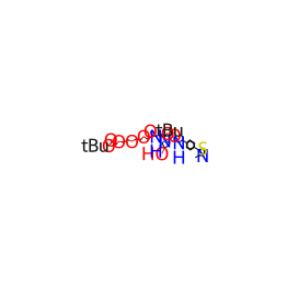 Cc1ncsc1-c1ccc([C@H](C)NC(=O)[C@@H]2C[C@@H](O)CN2C(=O)[C@@H](NC(=O)COCCOCCOCC(=O)OC(C)(C)C)C(C)(C)C)cc1